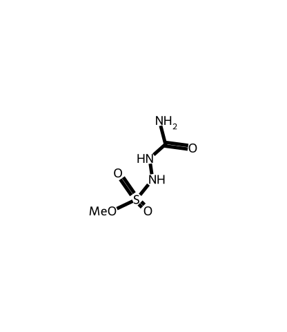 COS(=O)(=O)NNC(N)=O